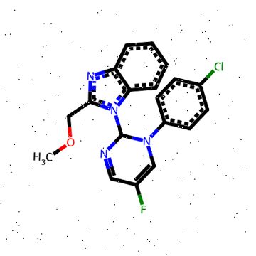 COCc1nc2ccccc2n1C1N=CC(F)=CN1c1ccc(Cl)cc1